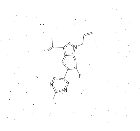 C=CCn1cc(C(=C)C)c2cc(-c3cnc(C)nc3)c(F)cc21